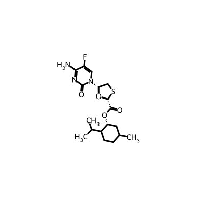 CC1CCC(C(C)C)[C@H](OC(=O)[C@@H]2O[C@H](n3cc(F)c(N)nc3=O)CS2)C1